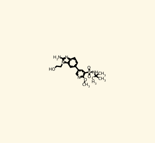 COc1ncc(-c2ccc3nc(N)n(CCO)c3c2)cc1S(=O)(=O)NC(C)(C)C